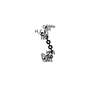 COC(=O)NCC(=O)N1[C@H](C)CC[C@H]1c1ncc(-c2ccc(-c3ccc(-c4cnc([C@@H]5CC[C@@H](C)N5C(=O)[C@@H](NC(=O)OC)C(C)C)[nH]4)cc3)cc2)[nH]1